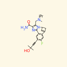 CC(C)N(C)Cc1c(C(N)=O)nc2n1C1C=C(C1)c1cc(F)c(C#CC(C)(C)O)cc1-2